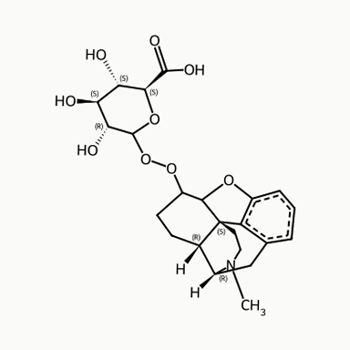 CN1CC[C@]23c4c5cccc4OC2C(OOC2O[C@H](C(=O)O)[C@@H](O)[C@H](O)[C@H]2O)CC[C@H]3[C@H]1C5